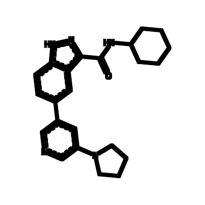 O=C(NC1CCCCC1)c1n[nH]c2ccc(-c3cncc(N4CCCC4)c3)cc12